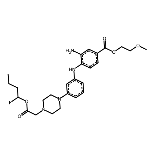 CCCC(F)OC(=O)CN1CCN(c2cccc(Nc3ccc(C(=O)OCCOC)cc3N)c2)CC1